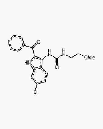 COCCNC(=O)Nc1c(C(=O)c2ccccc2)[nH]c2cc(Cl)ccc12